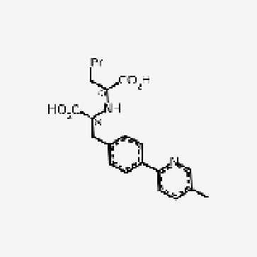 Cc1ccc(-c2ccc(C[C@H](N[C@@H](CC(C)C)C(=O)O)C(=O)O)cc2)nc1